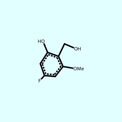 COc1cc(F)cc(O)c1CO